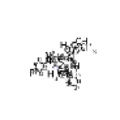 C=C(/C(C)=C\c1c(C)cnn1-c1ccc(F)cc1)[C@]12CN(C(=O)OC(C)(C)C)C[C@H]1C[C@](OC)(c1ccccc1)C2